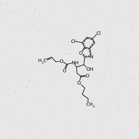 C=CCOC(=O)NC(CC(=O)OCCCC)C(O)c1nc2cc(Cl)cc(Cl)c2o1